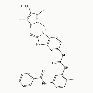 Cc1ccc(NC(=O)c2ccccc2)cc1NC(=O)Nc1ccc2c(c1)NC(=O)/C2=C\c1[nH]c(C)c(C(=O)O)c1C